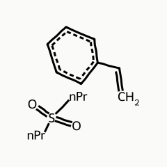 C=Cc1ccccc1.CCCS(=O)(=O)CCC